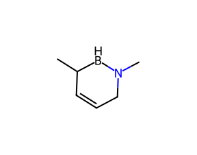 CC1BN(C)CC=C1